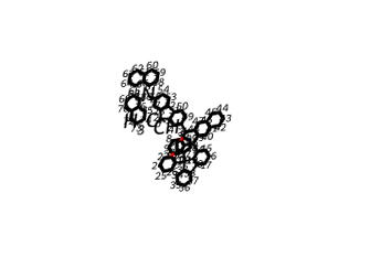 CC1(C)c2cc(-c3c4ccccc4c(-c4cccc5c4C(c4ccccc4)(c4ccccc4)c4ccccc4-5)c4cc5ccccc5cc34)ccc2-c2ccc(N(c3cccc4ccccc34)c3cccc4ccccc34)cc21